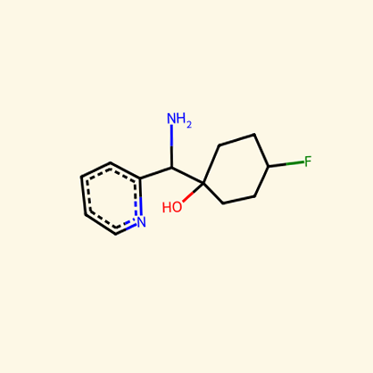 NC(c1ccccn1)C1(O)CCC(F)CC1